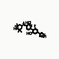 CN(c1ccc(-c2c(O)cc(-c3cn[nH]c3)cc2F)nn1)C1CC(C)(C)NC(C)(C)C1.Cl